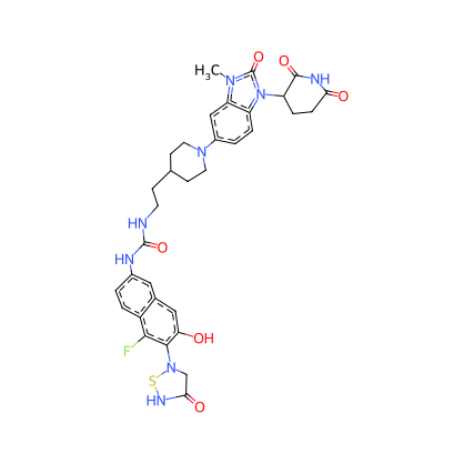 Cn1c(=O)n(C2CCC(=O)NC2=O)c2ccc(N3CCC(CCNC(=O)Nc4ccc5c(F)c(N6CC(=O)NS6)c(O)cc5c4)CC3)cc21